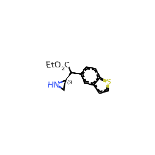 CCOC(=O)C(c1ccc2sccc2c1)[C@H]1CN1